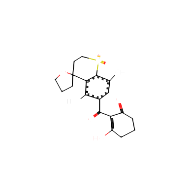 Cc1cc(C(=O)C2=C(O)CCCC2=O)c(C)c2c1S(=O)(=O)CCC21CCCO1